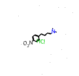 CN(C)CCCCc1ccc([N+](=O)[O-])cc1.Cl